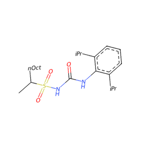 CCCCCCCCC(C)S(=O)(=O)NC(=O)Nc1c(C(C)C)cccc1C(C)C